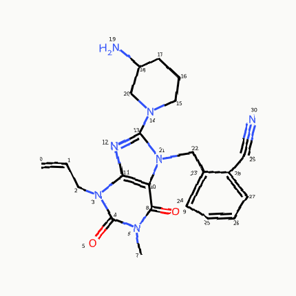 C=CCn1c(=O)n(C)c(=O)c2c1nc(N1CCCC(N)C1)n2Cc1ccccc1C#N